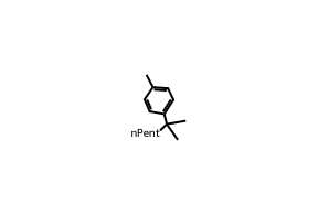 CCCCCC(C)(C)c1ccc(C)cc1